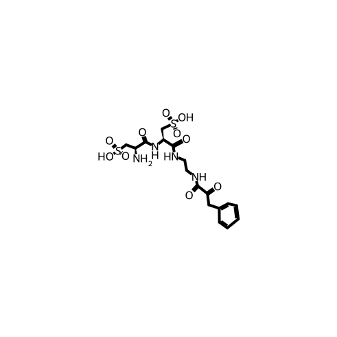 N[C@@H](CS(=O)(=O)O)C(=O)N[C@@H](CS(=O)(=O)O)C(=O)NCCNC(=O)C(=O)Cc1ccccc1